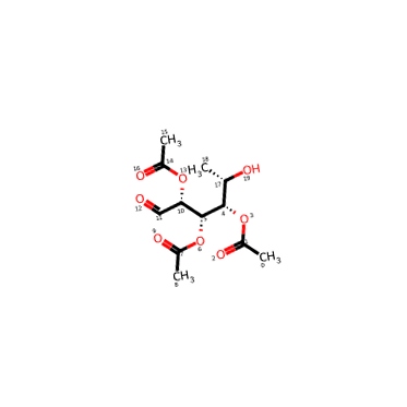 CC(=O)O[C@H]([C@H](OC(C)=O)[C@H](C=O)OC(C)=O)[C@H](C)O